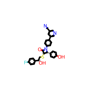 N#Cc1cncc(-c2ccc(N3C(=O)[C@H](SC[C@@H](O)c4ccc(F)cc4)[C@H]3c3ccc(O)cc3)cc2)c1